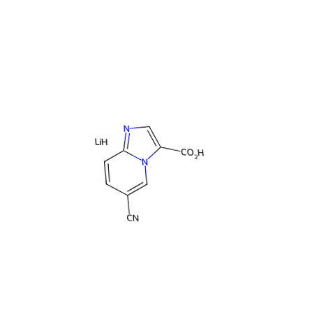 N#Cc1ccc2ncc(C(=O)O)n2c1.[LiH]